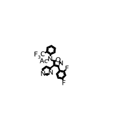 CC(=O)N(c1ccccc1C(F)(F)F)c1onc(-c2ccc(F)cc2F)c1-c1ccncn1